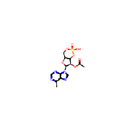 CC(=O)OC1C2OP(=O)(O)OCC2OC1n1cnc2c(C)ncnc21